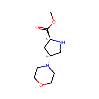 COC(=O)[C@@H]1C[C@@H](N2CCOCC2)CN1